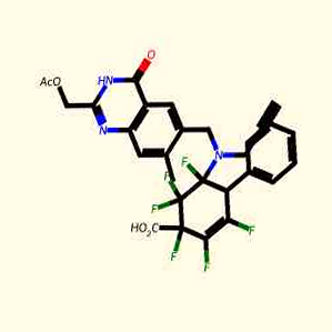 C#CCN(Cc1cc2c(=O)[nH]c(COC(C)=O)nc2cc1C)C1(F)C(c2ccccc2)C(F)=C(F)C(F)(C(=O)O)C1(F)F